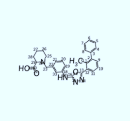 Cc1c(-c2ccccc2)cccc1-c1nnc(Nc2cccc(CN3CCCCC3C(=O)O)c2)o1